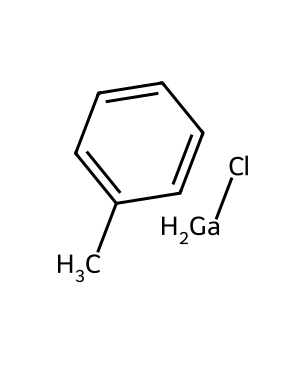 Cc1ccccc1.[Cl][GaH2]